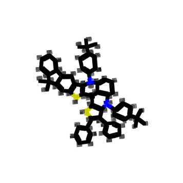 CC(C)(C)c1ccc(N2c3cccc4c3B(c3sc(-c5ccccc5)c(-c5ccccc5)c32)c2sc3cc5c(cc3c2N4c2ccc(C(C)(C)C)cc2)-c2ccccc2C5(C)C)cc1